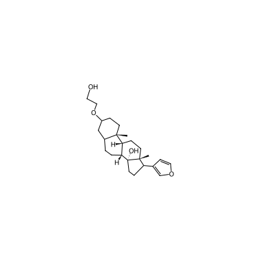 C[C@]12CCC(OCCO)CC1CC[C@@H]1[C@H]2CC[C@]2(C)C(c3ccoc3)CC[C@@]12O